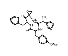 COc1ccc(CC(NC(=O)C(C)n2ccnn2)C(=O)NC(Cc2ccccc2)C(=O)C2(C)CO2)cc1